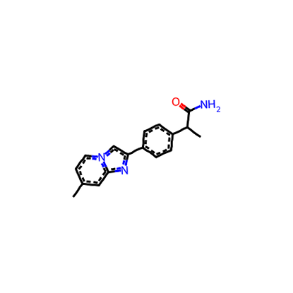 Cc1ccn2cc(-c3ccc(C(C)C(N)=O)cc3)nc2c1